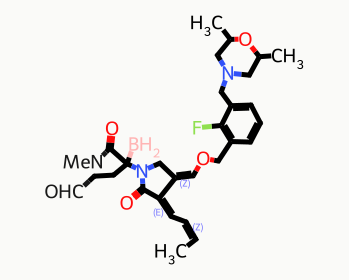 BC(CCC=O)(C(=O)NC)N1CC(=C\OCc2cccc(CN3CC(C)OC(C)C3)c2F)/C(=C\C=C/C)C1=O